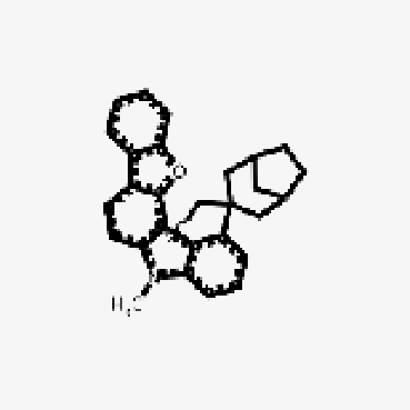 CCC1(c2cccc3c2c2c4oc5ccccc5c4ccc2n3C)CC2CCC(C2)C1